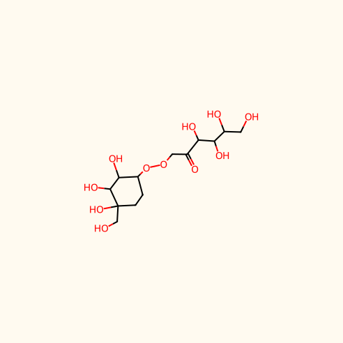 O=C(COOC1CCC(O)(CO)C(O)C1O)C(O)C(O)C(O)CO